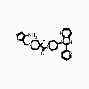 Nc1ccsc1CN1CCC(F)(C(=O)N2CCC(n3c(-c4ccccn4)nc4cccnc43)CC2)CC1